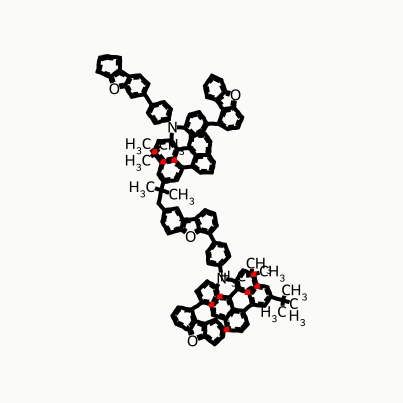 CC(C)(C)c1cc(-c2cccc3cccc(-c4ccccc4N(c4ccc(-c5cccc6c5oc5ccc(CC(C)(C)c7cc(-c8cccc9cccc(-c%10ccccc%10N(c%10ccc(-c%11ccc%12c(c%11)oc%11ccccc%11%12)cc%10)c%10ccc(-c%11cccc%12oc%13ccccc%13c%11%12)cc%10)c89)cc(C(C)(C)C)c7)cc56)cc4)c4ccc(-c5cccc6oc7ccccc7c56)cc4)c23)cc(C(C)(C)C)c1